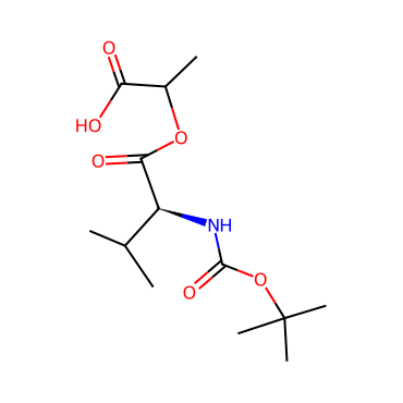 CC(OC(=O)[C@@H](NC(=O)OC(C)(C)C)C(C)C)C(=O)O